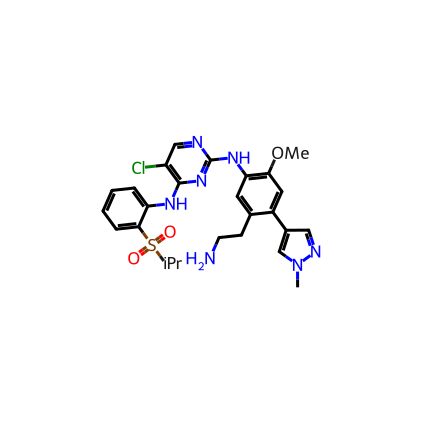 COc1cc(-c2cnn(C)c2)c(CCN)cc1Nc1ncc(Cl)c(Nc2ccccc2S(=O)(=O)C(C)C)n1